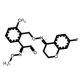 CO/N=C(/C=O)c1cccc(C)c1CO/N=C1\CCOc2cc(F)ccc21